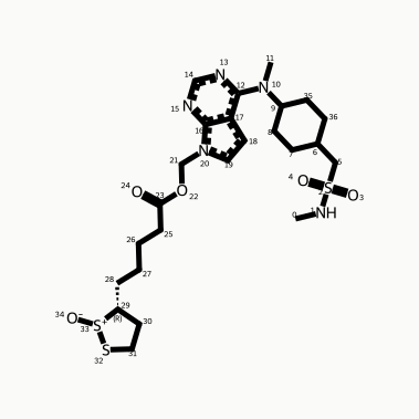 CNS(=O)(=O)CC1CCC(N(C)c2ncnc3c2ccn3COC(=O)CCCC[C@@H]2CCS[S+]2[O-])CC1